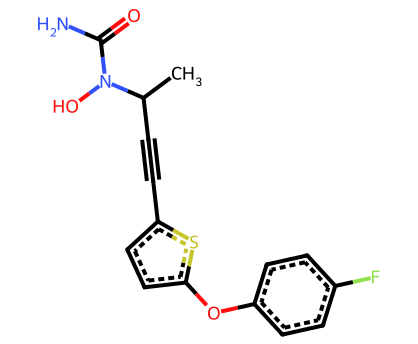 CC(C#Cc1ccc(Oc2ccc(F)cc2)s1)N(O)C(N)=O